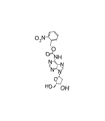 O=C(Nc1ncnc2c1ncn2[C@H]1C[C@H](O)[C@@H](CO)O1)OCc1ccccc1[N+](=O)[O-]